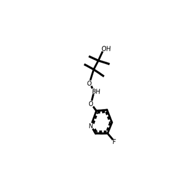 CC(C)(O)C(C)(C)OBOc1ccc(F)cn1